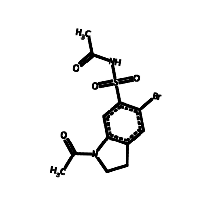 CC(=O)NS(=O)(=O)c1cc2c(cc1Br)CCN2C(C)=O